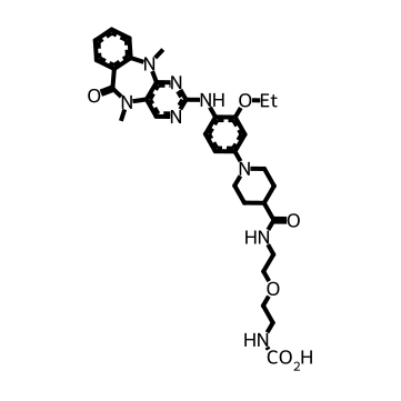 CCOc1cc(N2CCC(C(=O)NCCOCCNC(=O)O)CC2)ccc1Nc1ncc2c(n1)N(C)c1ccccc1C(=O)N2C